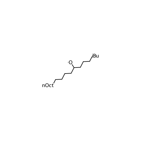 CCCCCCCCCCCCC([O])CCCC(C)CC